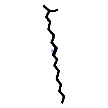 CCCCCCCC/C=[C]/CCCCCC(C)C